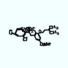 C=C(C)CCOc1cc(OC)cc(CC(=O)c2ccc(Cl)cc2Cl)c1C(=O)OCC